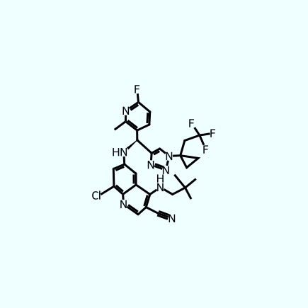 Cc1nc(F)ccc1[C@H](Nc1cc(Cl)c2ncc(C#N)c(NCC(C)(C)C)c2c1)c1cn(C2(CC(F)(F)F)CC2)nn1